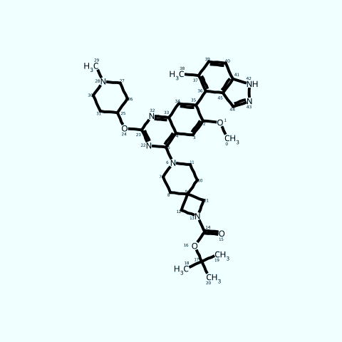 COc1cc2c(N3CCC4(CC3)CN(C(=O)OC(C)(C)C)C4)nc(OC3CCN(C)CC3)nc2cc1-c1c(C)ccc2[nH]ncc12